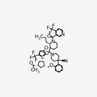 CCC[C@H]1N(C(=O)c2cnccc2C(F)(F)F)CCC[C@@]1(Oc1csc(C(F)(F)F)c1)C(=O)N1CCC(C#N)(c2ccccc2OC[C@H]2CC[C@@H](C(C)=O)C2)CC1